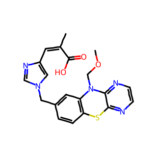 COCN1c2cc(Cn3cnc(C=C(C)C(=O)O)c3)ccc2Sc2nccnc21